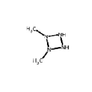 CN1NNN1C